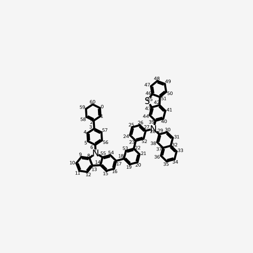 C1=CC(c2ccc(-n3c4ccccc4c4ccc(-c5cccc(-c6cccc(N(c7ccc8ccccc8c7)c7ccc8c(c7)sc7ccccc78)c6)c5)cc43)cc2)=CCC1